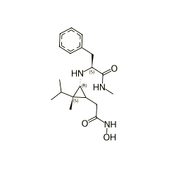 CNC(=O)[C@H](Cc1ccccc1)N[C@@H]1C(CC(=O)NO)[C@]1(C)C(C)C